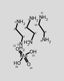 NCCN.NCCN.NCCN.[O]=[Mo](=[O])([OH])[OH]